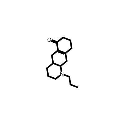 CCCN1CCCC2CC3=C(CCCC3=O)CC21